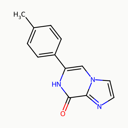 Cc1ccc(-c2cn3ccnc3c(=O)[nH]2)cc1